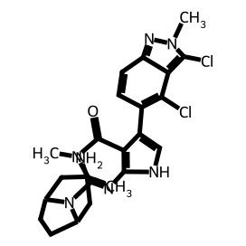 Cn1nc2ccc(-c3c[nH]c4nc(N5C6CCC5CC(C)(N)C6)n(C)c(=O)c34)c(Cl)c2c1Cl